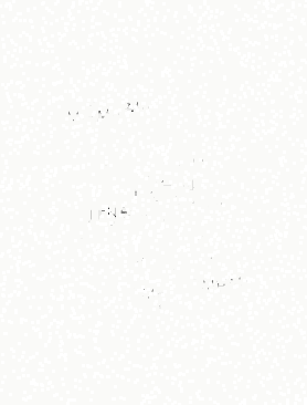 COCC[O][AlH2-][O]CCOC.COCC[O][AlH2-][O]CCOC.COCC[O][AlH2-][O]CCOC.[H+].[H+].[Na+]